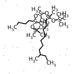 CCCC[Si](C)(O[Si](C)(C)C)O[Si](C)(C)O[Si](C)(CCCCCCCC(C)CC)O[Si](C)(C)C